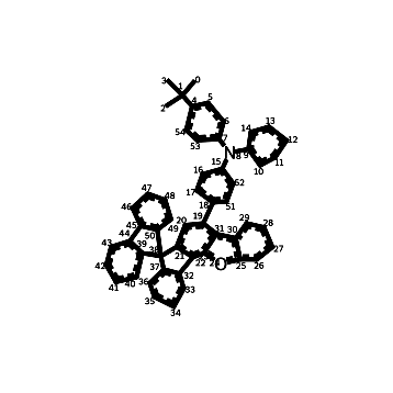 CC(C)(C)c1ccc(N(c2ccccc2)c2ccc(-c3cc4c(c5oc6ccccc6c35)-c3ccccc3C43c4ccccc4-c4ccccc43)cc2)cc1